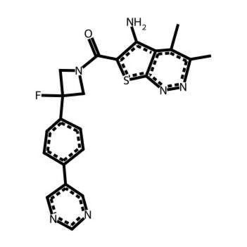 Cc1nnc2sc(C(=O)N3CC(F)(c4ccc(-c5cncnc5)cc4)C3)c(N)c2c1C